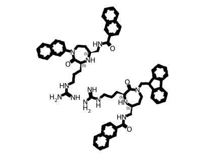 N=C(N)NCCC[C@@H]1N[C@H](CNC(=O)c2ccc3ccccc3c2)CCN(CC2c3ccccc3-c3ccccc32)C1=O.N=C(N)NCCC[C@@H]1N[C@H](CNC(=O)c2ccc3ccccc3c2)CCN(c2ccc3ccccc3c2)C1=O